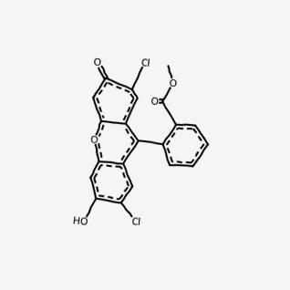 COC(=O)c1ccccc1-c1c2cc(Cl)c(=O)cc-2oc2cc(O)c(Cl)cc12